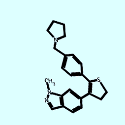 Cn1ncc2ccc(C3=C(c4ccc(CN5CCCC5)cc4)SCC3)cc21